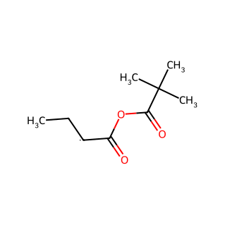 CC[CH]C(=O)OC(=O)C(C)(C)C